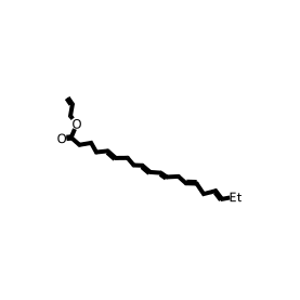 C=CCOC(=O)CCCC=CCCC=CC=CCC=CCC=CCC